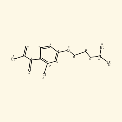 C=C(CC)C(=O)c1ccc(OCCCN(CC)CC)cc1Cl